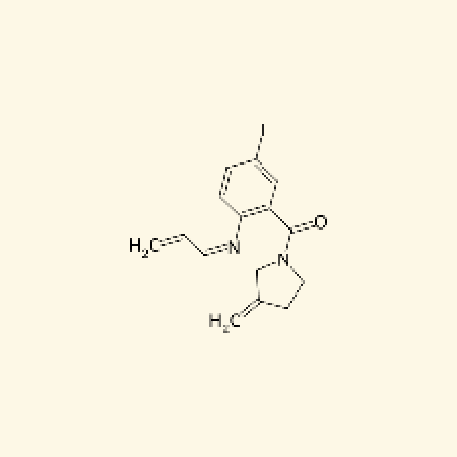 C=C/C=N\c1ccc(I)cc1C(=O)N1CCC(=C)C1